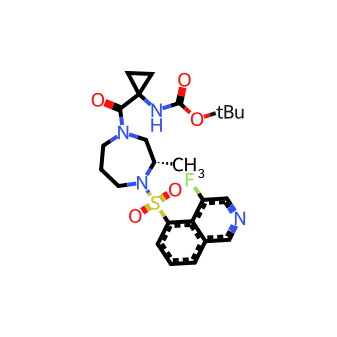 C[C@H]1CN(C(=O)C2(NC(=O)OC(C)(C)C)CC2)CCCN1S(=O)(=O)c1cccc2cncc(F)c12